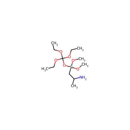 CCOC(OCC)(OCC)O[Si](CC(C)N)(OC)OC